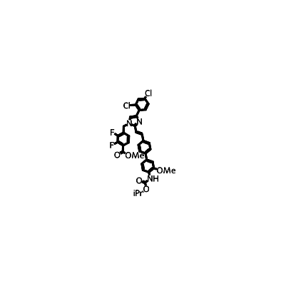 COC(=O)c1ccc(Cn2cc(-c3ccc(Cl)cc3Cl)nc2/C=C/c2ccc(-c3ccc(NC(=O)OC(C)C)c(OC)c3)cc2)c(F)c1F